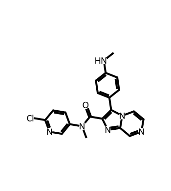 CNc1ccc(-c2c(C(=O)N(C)c3ccc(Cl)nc3)nc3cnccn23)cc1